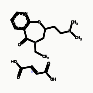 CCN1CC(CCN(C)C)Oc2ncccc2C1=O.O=C(O)/C=C/C(=O)O